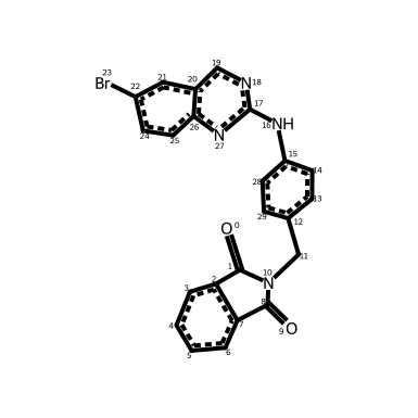 O=C1c2ccccc2C(=O)N1Cc1ccc(Nc2ncc3cc(Br)ccc3n2)cc1